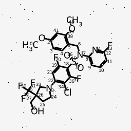 COc1ccc(CN(c2cccc(F)n2)S(=O)(=O)c2c(F)cc(N3CCC(CO)(C(F)(F)F)C3)c(Cl)c2F)c(OC)c1